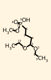 CCOC(CCCP(=O)(O)OC)OCC